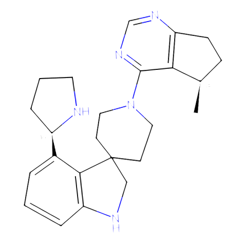 C[C@@H]1CCc2ncnc(N3CCC4(CC3)CNc3cccc([C@H]5CCCN5)c34)c21